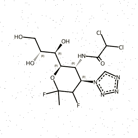 CC1(F)O[C@@H]([C@H](O)[C@H](O)CO)[C@H](NC(=O)C(Cl)Cl)[C@@H](n2cnnn2)C1F